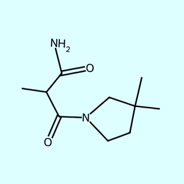 CC(C(N)=O)C(=O)N1CCC(C)(C)C1